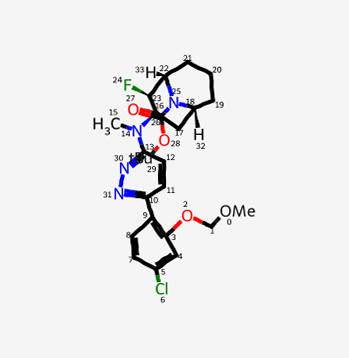 COCOc1cc(Cl)ccc1-c1ccc(N(C)[C@@H]2C[C@H]3CCC[C@@H]([C@@H]2F)N3C(=O)OC(C)(C)C)nn1